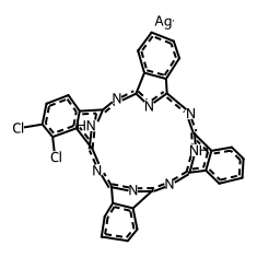 Clc1ccc2c3nc4nc(nc5[nH]c(nc6nc(nc([nH]3)c2c1Cl)-c1ccccc1-6)c1ccccc51)-c1ccccc1-4.[Ag]